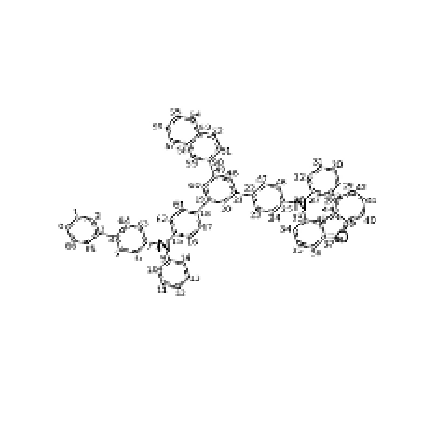 c1ccc(-c2ccc(N(c3ccccc3)c3ccc(-c4cc(-c5ccc(N(c6ccccc6)c6cccc7oc8ccccc8c67)cc5)cc(-c5ccc6ccccc6c5)c4)cc3)cc2)cc1